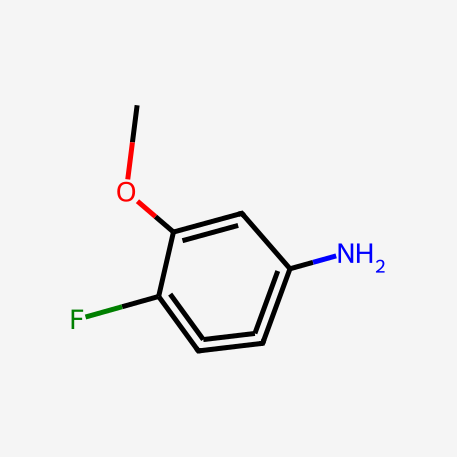 COC1=CC(N)=C=C=C1F